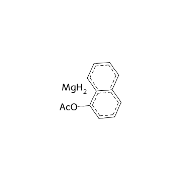 CC(=O)Oc1cccc2ccccc12.[MgH2]